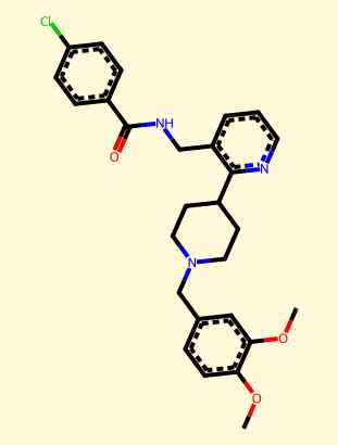 COc1ccc(CN2CCC(c3ncccc3CNC(=O)c3ccc(Cl)cc3)CC2)cc1OC